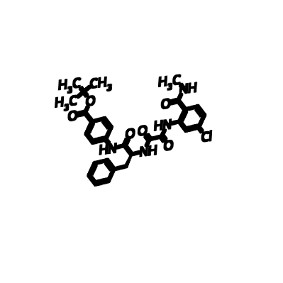 CNC(=O)c1ccc(Cl)cc1NC(=O)C(=O)N[C@@H](Cc1ccccc1)C(=O)Nc1ccc(C(=O)OC(C)(C)C)cc1